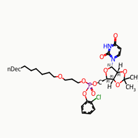 CCCCCCCCCCCCCCCCOCCCOP(=O)(OC[C@H]1O[C@H](n2ccc(=O)[nH]c2=O)[C@@H]2OC(C)(C)O[C@@H]21)Oc1ccccc1Cl